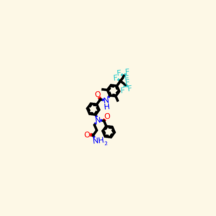 Cc1cc(C(F)(C(F)(F)F)C(F)(F)F)cc(C)c1NC(=O)c1cccc(N(CCC(N)=O)C(=O)c2ccccc2)c1